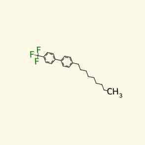 CCCCCCCCCc1ccc(-c2ccc(C(F)(F)F)cc2)cc1